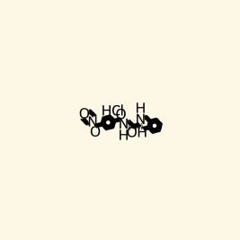 Cl.O=C(NC[C@@H](O)[C@H]1Cc2ccccc2CN1)c1ccc(C(=O)N2CCOCC2)cc1